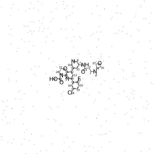 CN(CCC(=O)Nc1cncc(-c2cc(-c3cc(Cl)ccc3F)nc3c2OCCN3C(=O)O)c1)C1COC1